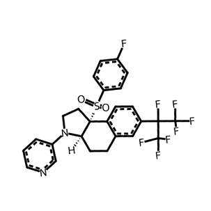 O=S(=O)(c1ccc(F)cc1)[C@@]12CCN(c3cccnc3)[C@@H]1CCc1cc(C(F)(C(F)(F)F)C(F)(F)F)ccc12